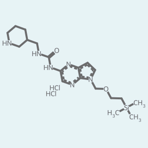 C[Si](C)(C)CCOCn1ccc2nc(NC(=O)NCC3CCCNC3)cnc21.Cl.Cl